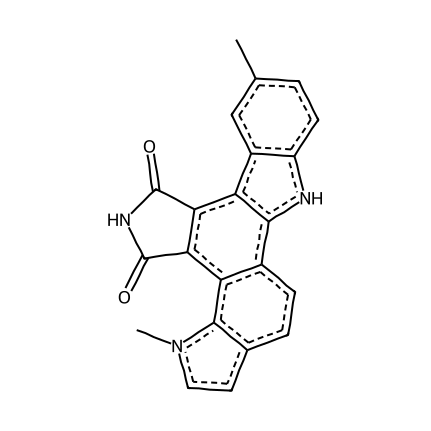 Cc1ccc2[nH]c3c4ccc5ccn(C)c5c4c4c(c3c2c1)C(=O)NC4=O